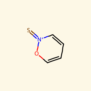 S=[n+]1cccco1